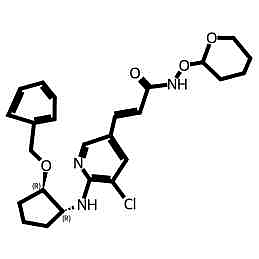 O=C(C=Cc1cnc(N[C@@H]2CCC[C@H]2OCc2ccccc2)c(Cl)c1)NOC1CCCCO1